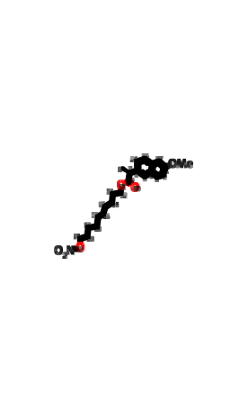 COc1ccc2cc([C@H](C)C(=O)OCCCCCCCCCCO[N+](=O)[O-])ccc2c1